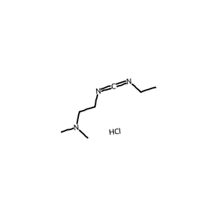 CCN=C=NCCN(C)C.Cl